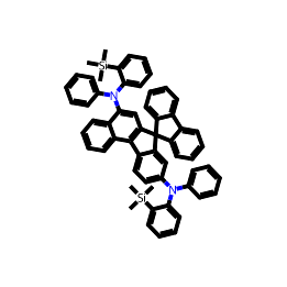 C[Si](C)(C)c1ccccc1N(c1ccccc1)c1ccc2c(c1)C1(c3ccccc3-c3ccccc31)c1cc(N(c3ccccc3)c3ccccc3[Si](C)(C)C)c3ccccc3c1-2